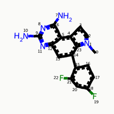 Cn1ccc2c3c(N)nc(N)nc3cc(-c3ccc(F)cc3F)c21